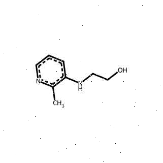 Cc1ncccc1NCCO